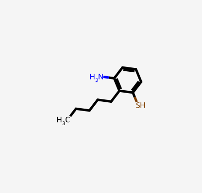 CCCCCc1c(N)cccc1S